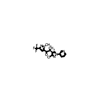 CN(C(=O)c1cc(C(F)(F)F)nn1C)c1cn(-c2cccnc2)nc1Cl